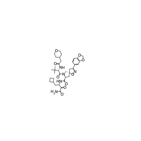 CC(C)(C)[C@H](NC(=O)CC1CCOCC1)C(=O)N1C[C@@]2(CC(c3ccc4c(c3)OCO4)=NO2)C[C@H]1C(=O)NC(CC1CCC1)C(=O)C(N)=O